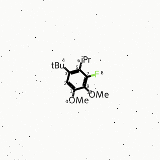 COc1cc(C(C)(C)C)c(C(C)C)c(F)c1OC